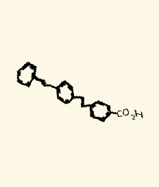 O=C(O)c1ccc(C=Cc2ccc(C=Cc3ccccc3)cc2)cc1